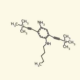 CCCCCNc1cc(C#C[Si](C)(C)C)c(N)cc1C#C[Si](C)(C)C